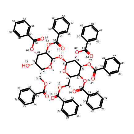 O=C(OC[C@H]1O[C@H](O[C@@H]2O[C@H](COC(=O)c3ccccc3)[C@H](OC(=O)c3ccccc3)[C@H](OC(=O)c3ccccc3)[C@H]2OC(=O)c2ccccc2)[C@H](OC(=O)c2ccccc2)[C@@H](OC(=O)c2ccccc2)[C@H]1O)c1ccccc1